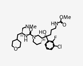 CNC[C@H](CC1CCOCC1)NC(=O)N1CCC[C@@H]([C@@](O)(CCCNC(=O)OC)c2cccc(Cl)c2F)C1